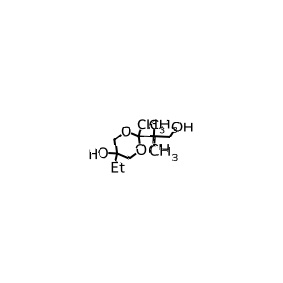 CCC1(O)COC(C)(C(C)(C)CO)OC1